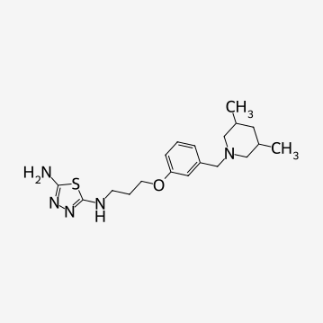 CC1CC(C)CN(Cc2cccc(OCCCNc3nnc(N)s3)c2)C1